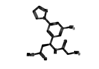 COC(=O)C[C@H](NC(=O)CN)c1cc(-n2cccn2)cc(C(F)(F)F)c1